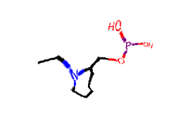 CCN1CCCC1COP(O)O